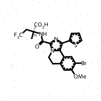 COc1cc2c(cc1Br)-c1c(-c3cccs3)nc(C(=O)N[C@@](C)(CC(F)(F)F)C(=O)O)n1CC2